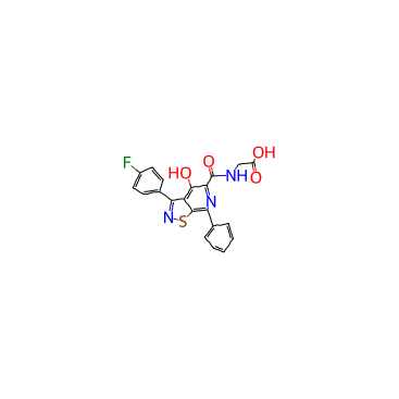 O=C(O)CNC(=O)c1nc(-c2ccccc2)c2snc(-c3ccc(F)cc3)c2c1O